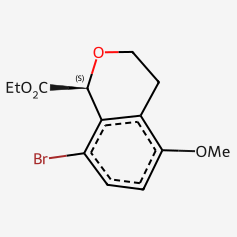 CCOC(=O)[C@H]1OCCc2c(OC)ccc(Br)c21